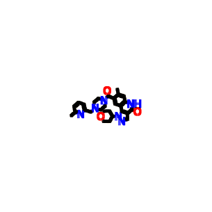 Cc1cccc(CN2CCN(C(=O)c3cc4c(cc3C)[nH]c(=O)c3cnn(C5CCOCC5)c34)CC2)n1